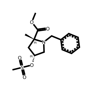 COC(=O)[C@@]1(C)C[C@@H](OS(C)(=O)=O)CN1Cc1ccccc1